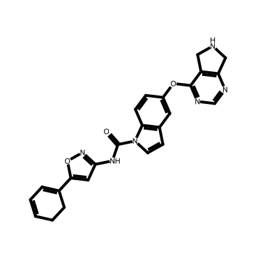 O=C(Nc1cc(C2=CC=CCC2)on1)n1ccc2cc(Oc3ncnc4c3CNC4)ccc21